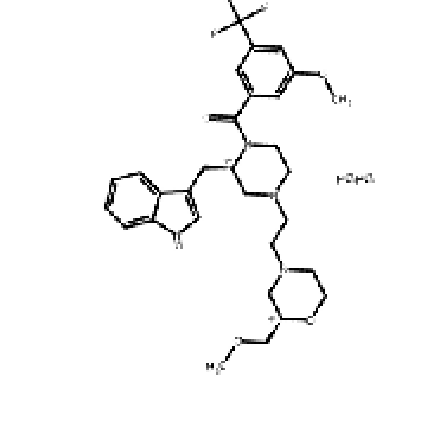 COC[C@H]1CN(CCN2CCN(C(=O)c3cc(OC)cc(C(F)(F)F)c3)[C@H](Cc3c[nH]c4ccccc34)C2)CCO1.Cl.Cl